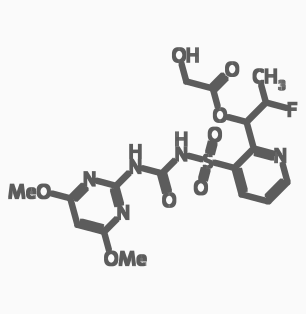 COc1cc(OC)nc(NC(=O)NS(=O)(=O)c2cccnc2C(OC(=O)CO)C(C)F)n1